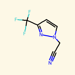 N#CCn1ccc(C(F)(F)F)n1